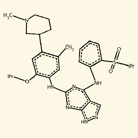 Cc1cc(Nc2nc(Nc3ccccc3S(=O)(=O)C(C)C)c3cn[nH]c3n2)c(OC(C)C)cc1C1CCCN(C)C1